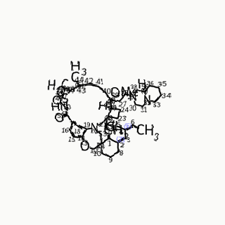 C=C1/C(=C\C(Cl)=C/C)CCC[C@]12COc1ccc3cc1N(C[C@@H]1CC[C@H]1[C@](CCN1CCN4CCCC[C@@H]4C1)(OC)CCC[C@H](C)[C@@H](C)S(=O)(=O)NC3=O)C2